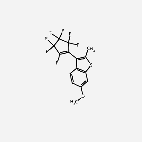 COc1ccc2c(C3=C(F)C(F)(F)C(F)(F)C3(F)F)c(C)sc2c1